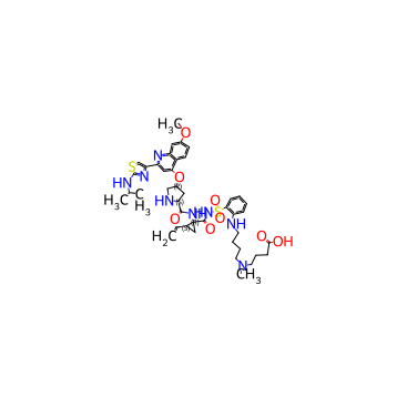 C=C[C@@H]1C[C@]1(NC(=O)[C@@H]1C[C@@H](Oc2cc(-c3csc(NC(C)C)n3)nc3cc(OC)ccc23)CN1)C(=O)NS(=O)(=O)c1ccccc1NCCCCN(C)CCCC(=O)O